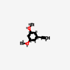 C#Cc1cc(OCC)cc(OCC)c1